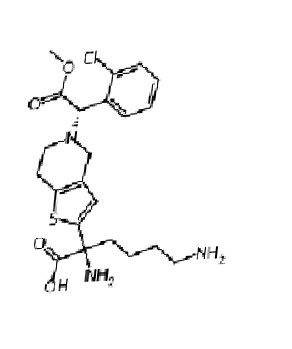 COC(=O)[C@H](c1ccccc1Cl)N1CCc2sc(C(N)(CCCCN)C(=O)O)cc2C1